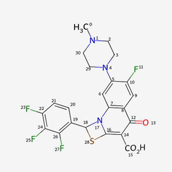 CN1CCN(c2cc3c(cc2F)c(=O)c(C(=O)O)c2n3C(c3ccc(F)c(F)c3F)S2)CC1